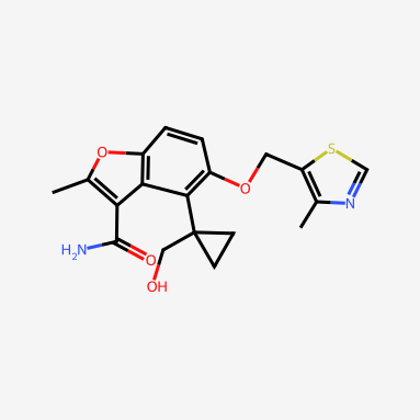 Cc1ncsc1COc1ccc2oc(C)c(C(N)=O)c2c1C1(CO)CC1